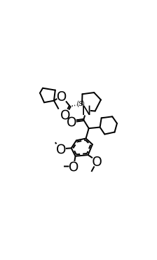 COc1cc(C(C(=O)N2CCCC[C@H]2C(=O)OC2(C)CCCC2)C2CCCCC2)cc(OC)c1OC